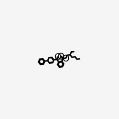 CCCCC(CC)COC(=O)c1ccccc1C(=O)C1=CCC(c2ccccc2)C=C1